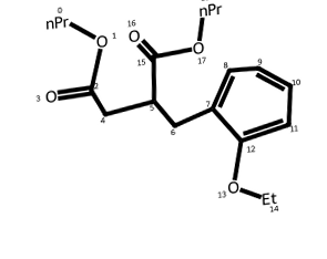 CCCOC(=O)CC(Cc1ccccc1OCC)C(=O)OCCC